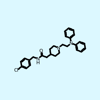 O=C(CC1CCN(CCN(c2ccccc2)c2ccccc2)CC1)NCc1ccc(Cl)cc1